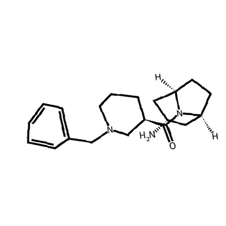 N[C@@H]1C[C@H]2CC[C@@H](C1)N2C(=O)[C@@H]1CCCN(Cc2ccccc2)C1